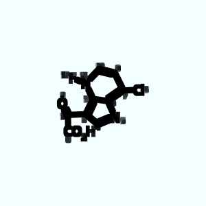 O=C(O)C(=O)c1cnc2c(Cl)ccn(F)c1-2